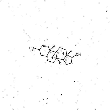 C[C@]12C=CC(N)CC1=CC[C@@H]1[C@H]2CC[C@]2(C)C(O)CC[C@@H]12